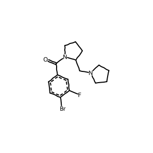 O=C(c1ccc(Br)c(F)c1)N1CCCC1CN1CCCC1